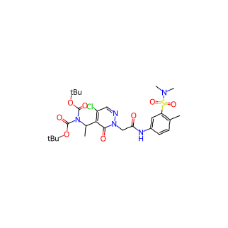 Cc1ccc(NC(=O)Cn2ncc(Cl)c(C(C)N(C(=O)OC(C)(C)C)C(=O)OC(C)(C)C)c2=O)cc1S(=O)(=O)N(C)C